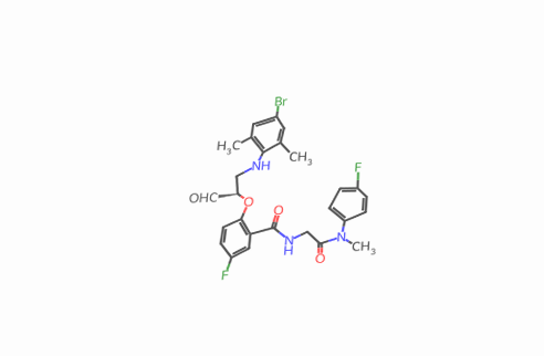 Cc1cc(Br)cc(C)c1NC[C@H](C=O)Oc1ccc(F)cc1C(=O)NCC(=O)N(C)c1ccc(F)cc1